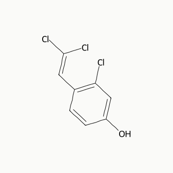 Oc1ccc(C=C(Cl)Cl)c(Cl)c1